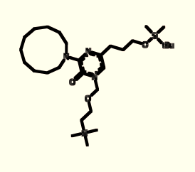 CC(C)(C)[Si](C)(C)OCCCc1cn(COCC[Si](C)(C)C)c(=O)c(N2CCCCCCCCCC2)n1